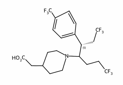 O=C(O)CC1CCN(C(CCC(F)(F)F)[C@@H](CC(F)(F)F)c2ccc(C(F)(F)F)cc2)CC1